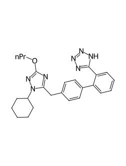 CCCOc1nc(Cc2ccc(-c3ccccc3-c3nnn[nH]3)cc2)n(C2CCCCC2)n1